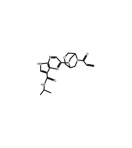 C=CC(=O)N1CC2COCC1CN2c1cnc2[nH]cc(C(=O)NC(C)C)c2n1